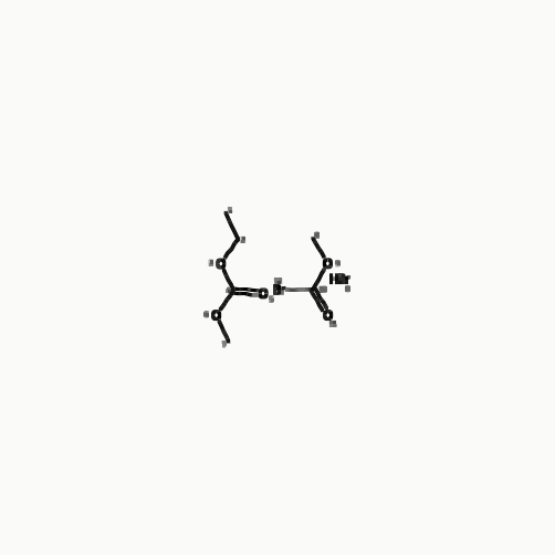 Br.CCOC(=O)OC.COC(=O)Br